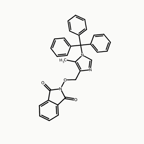 Cc1c(CON2C(=O)c3ccccc3C2=O)ncn1C(c1ccccc1)(c1ccccc1)c1ccccc1